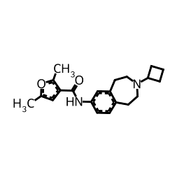 Cc1cc(C(=O)Nc2ccc3c(c2)CCN(C2CCC2)CC3)c(C)o1